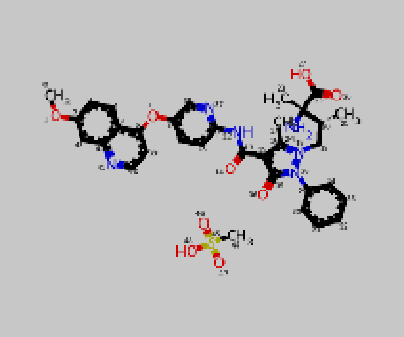 COc1ccc2c(Oc3ccc(NC(=O)c4c(C)n(C[C@@H](C)[C@](C)(N)C(=O)O)n(-c5ccccc5)c4=O)nc3)ccnc2c1.CS(=O)(=O)O